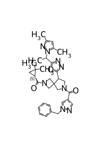 Cc1cc(C)n(C(C)c2nnc(C3CN(C(=O)c4cnn(Cc5ccccc5)c4)CC34CN(C(=O)[C@H]3CC3(C)C)C4)o2)n1